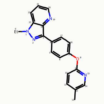 CCn1nc(-c2ccc(Oc3ccc(C)cn3)cc2)c2ncccc21